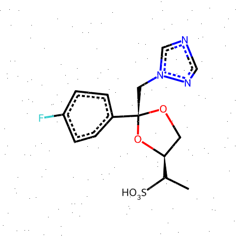 CC([C@@H]1CO[C@@](Cn2cncn2)(c2ccc(F)cc2)O1)S(=O)(=O)O